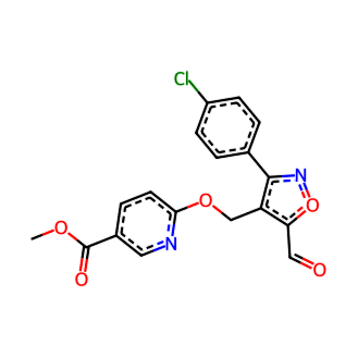 COC(=O)c1ccc(OCc2c(-c3ccc(Cl)cc3)noc2C=O)nc1